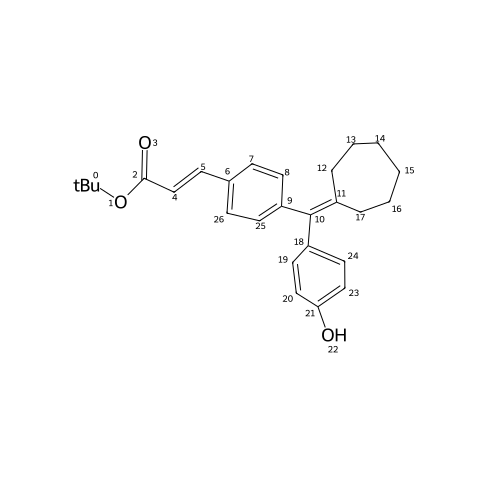 CC(C)(C)OC(=O)/C=C/c1ccc(C(=C2CCCCCC2)c2ccc(O)cc2)cc1